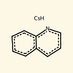 [CsH].c1ccc2ncccc2c1